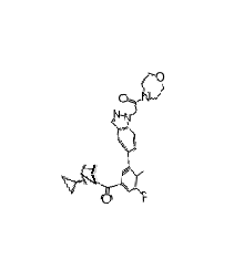 Cc1c(F)cc(C(=O)NC2CC2)cc1-c1ccc2c(cnn2CC(=O)N2CCOCC2)c1